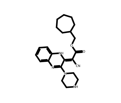 N#CC(C(=O)OCC1CCCCCC1)=C1Nc2ccccc2N=C1N1CCNCC1